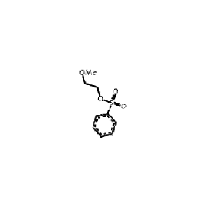 COCCOS(=O)(=O)c1ccccc1